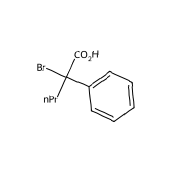 CCCC(Br)(C(=O)O)c1ccccc1